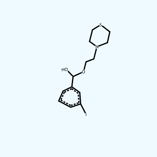 OC(OCCN1CCSCC1)c1cccc(I)c1